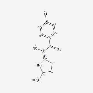 N#C/C(C(=O)c1ccc(Cl)cc1)=C1/CCC(C(=O)O)N1